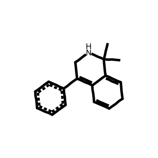 CC1(C)NCC(c2ccccc2)=C2C=CCC=C21